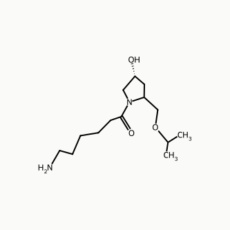 CC(C)OCC1C[C@@H](O)CN1C(=O)CCCCCN